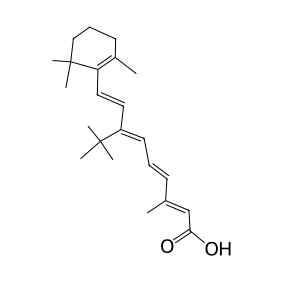 CC1=C(/C=C/C(=C/C=C/C(C)=C/C(=O)O)C(C)(C)C)C(C)(C)CCC1